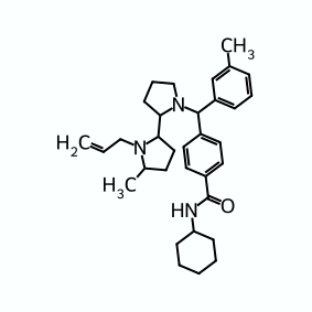 C=CCN1C(C)CCC1C1CCCN1C(c1ccc(C(=O)NC2CCCCC2)cc1)c1cccc(C)c1